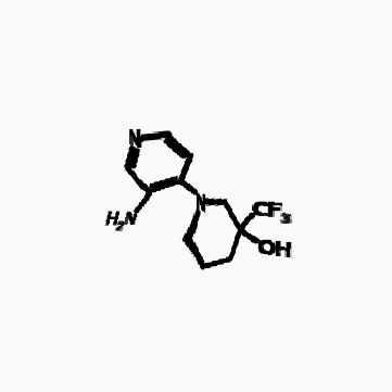 Nc1cnccc1N1CCCC(O)(C(F)(F)F)C1